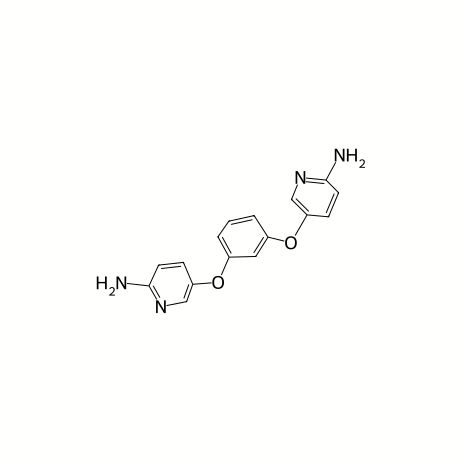 Nc1ccc(Oc2cccc(Oc3ccc(N)nc3)c2)cn1